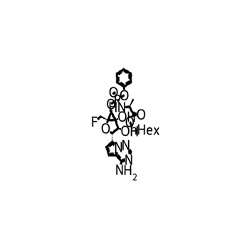 CCCCCCOC(=O)[C@H](C)NP(=O)(Oc1ccccc1)OC1[C@@]2(CF)O[C@@H](c3ccc4c(N)ncnn34)[C@H](O)[C@@]12O